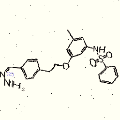 Cc1cc(NS(=O)(=O)c2ccccc2)cc(OCCc2ccc(/C=N\N)cc2)c1